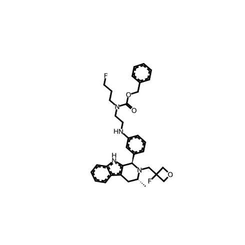 C[C@@H]1Cc2c([nH]c3ccccc23)[C@@H](c2cccc(NCCN(CCCF)C(=O)OCc3ccccc3)c2)N1CC1(F)COC1